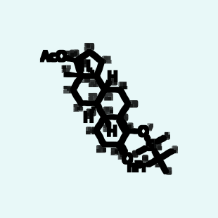 CCCC(C)(C)[Si](C)(C)OC1=C2CC[C@@H]3[C@H](CC[C@]4(C)[C@@H](OC(C)=O)CC[C@@H]34)[C@H]2CCC1=O